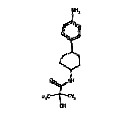 CC(C)(O)C(=O)NC1CCC(c2ccc(N)cc2)CC1